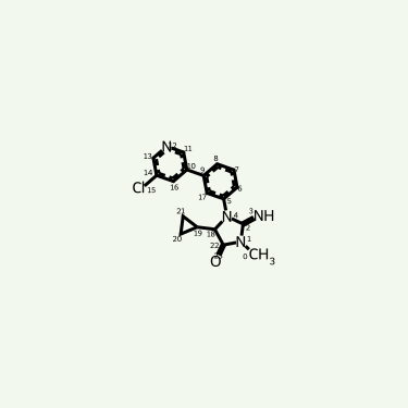 CN1C(=N)N(c2cccc(-c3cncc(Cl)c3)c2)C(C2CC2)C1=O